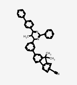 CC1C(c2ccc(-c3ccccc3)cc2)=NC(c2ccccc2)=NC1c1cccc(-c2ccc3c(c2)C(C)(C)c2cc(C#N)ccc2-3)c1